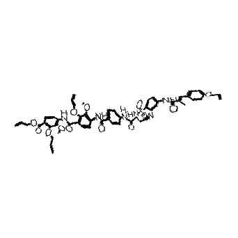 C=CCOC(=O)c1ccc(NC(=O)c2ccc(NC(=O)c3ccc(NC(=O)[C@H](CC#N)NS(=O)(=O)c4ccc(NC(=O)C(C)=Cc5ccc(OCC=C)cc5)cc4)cc3)c(OC)c2OCC=C)c(OC)c1OCC=C